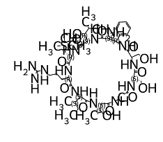 CC[C@H](C)[C@@H]1NC(=O)[C@@H](CCCNC(=N)N)NC(=O)[C@H](C[Si](C)(C)C)NC(=O)[C@H]([C@H](O)C(C)C)NC(=O)[C@@H](N)[C@@H](c2ccccc2)NC(=O)C(CO)NC(=O)[C@H](CO)NC(=O)CNC(=O)[C@H]([C@H](C)O)NC1=O